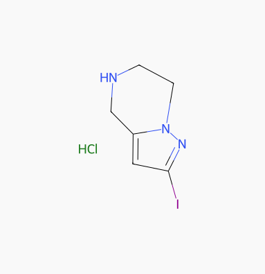 Cl.Ic1cc2n(n1)CCNC2